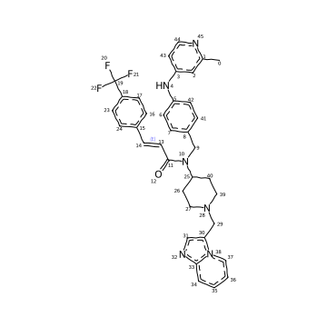 Cc1cc(Nc2ccc(CN(C(=O)/C=C/c3ccc(C(F)(F)F)cc3)C3CCN(Cc4cnc5ccccn45)CC3)cc2)ccn1